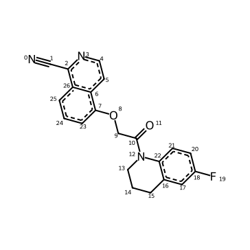 N#Cc1nccc2c(OCC(=O)N3CCCc4cc(F)ccc43)cccc12